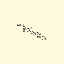 CO[C@@H]1CN[C@H](c2ccc(-c3cn4c(n3)sc3cc(C(=O)NC5CCN(C)CC5)ccc34)c(F)c2)C1